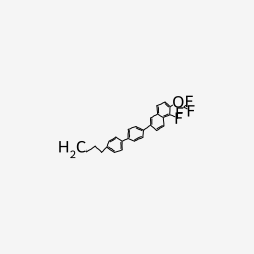 C=CCCc1ccc(-c2ccc(-c3ccc4c(F)c(OC(F)(F)F)ccc4c3)cc2)cc1